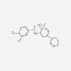 O=C(Nc1cc(-c2ccccc2)ccc1C(=O)O)c1ccc(Cl)c(Cl)c1